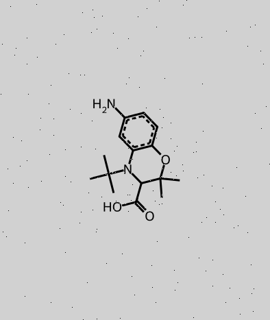 CC1(C)Oc2ccc(N)cc2N(C(C)(C)C)C1C(=O)O